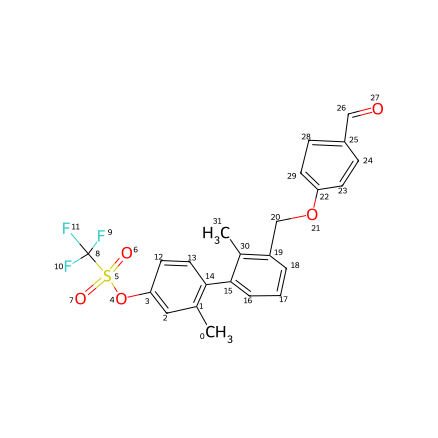 Cc1cc(OS(=O)(=O)C(F)(F)F)ccc1-c1cccc(COc2ccc(C=O)cc2)c1C